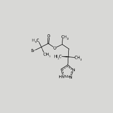 CC(CC(C)(C)c1c[nH]nn1)OC(=O)C(C)(C)Br